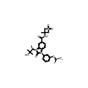 C[C@@H](n1c(=O)n(-c2cccc(O[C@H](F)C(F)(F)F)c2)c2ccc(C(=O)NC3(C)CS(=O)(=O)C3)cc21)C(C)(C)O